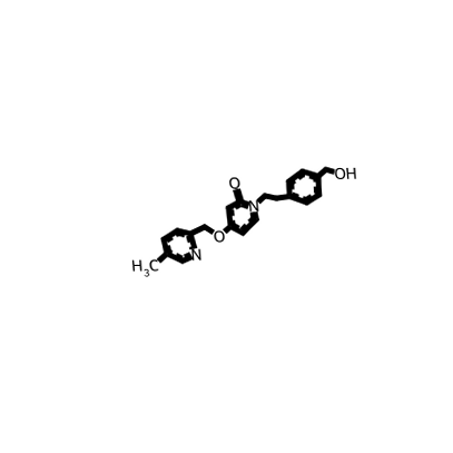 Cc1ccc(COc2ccn(CCc3ccc(CO)cc3)c(=O)c2)nc1